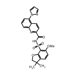 COc1ccc2c(c1S(=O)(=O)NC(=O)c1ccc3c(-n4cccn4)cccc3n1)OCC2(C)C